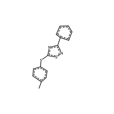 Cc1ccc(Sc2nc(-c3ccccc3)ns2)cc1